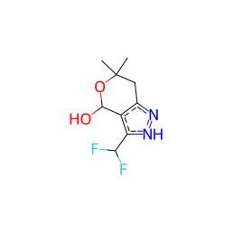 CC1(C)Cc2n[nH]c(C(F)F)c2C(O)O1